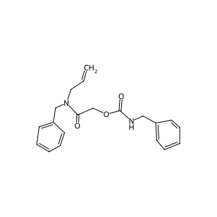 C=CCN(Cc1ccccc1)C(=O)COC(=O)NCc1ccccc1